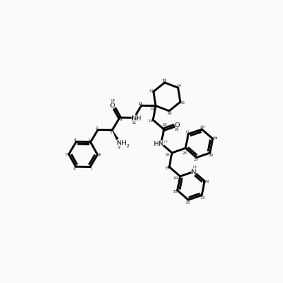 N[C@@H](Cc1ccccc1)C(=O)NCC1(CC(=O)NC(Cc2ccccn2)c2ccccc2)CCCCC1